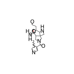 CC(CC=O)C1NCC12CN(C(=O)c1cncs1)CC2C(N)=O